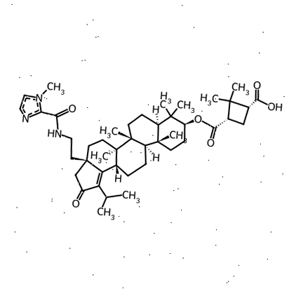 CC(C)C1=C2[C@H]3CC[C@@H]4[C@@]5(C)CC[C@H](OC(=O)[C@H]6C[C@@H](C(=O)O)C6(C)C)C(C)(C)[C@@H]5CC[C@@]4(C)[C@]3(C)CC[C@@]2(CCNC(=O)c2nccn2C)CC1=O